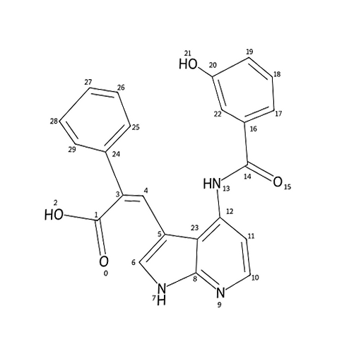 O=C(O)C(=Cc1c[nH]c2nccc(NC(=O)c3cccc(O)c3)c12)c1ccccc1